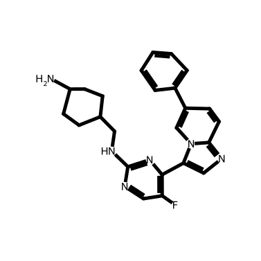 NC1CCC(CNc2ncc(F)c(-c3cnc4ccc(-c5ccccc5)cn34)n2)CC1